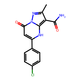 Cc1nn2c(=O)cc(-c3ccc(Cl)cc3)[nH]c2c1C(N)=O